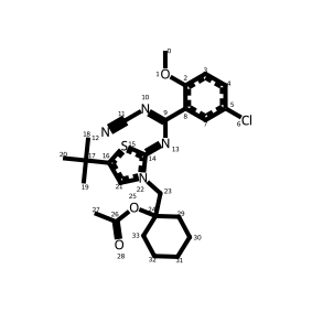 COc1ccc(Cl)cc1C(=NC#N)/N=c1\sc(C(C)(C)C)cn1CC1(OC(C)=O)CCCCC1